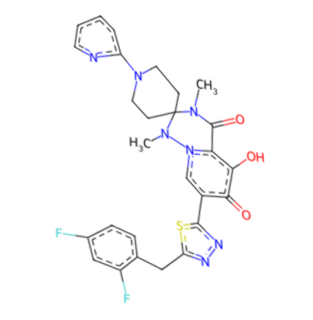 CN1C(=O)c2c(O)c(=O)c(-c3nnc(Cc4ccc(F)cc4F)s3)cn2N(C)C12CCN(c1ccccn1)CC2